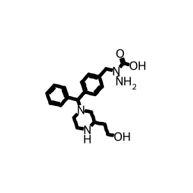 NN(Cc1ccc(C(c2ccccc2)N2CCNC(CCO)C2)cc1)C(=O)O